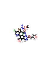 CC(C)(C)OC(=O)Nc1sc2c(F)cnc(-c3c4c(c5cnc(OC[C@H]6CCOC6)nc5c3F)COC4)c2c1C#N